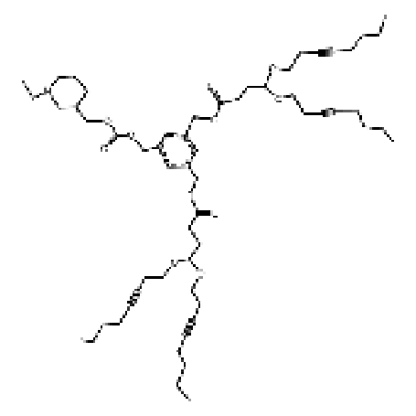 CCCCC#CCCOC(CCC(=O)OCc1cc(COC(=O)CCC(OCCC#CCCCC)OCCC#CCCCC)cc(COC(=O)OCC2CCCN(CC)C2)c1)OCCC#CCCCC